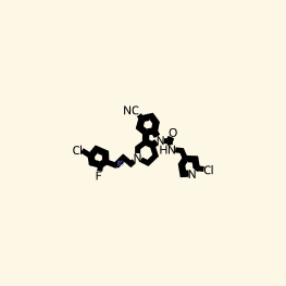 N#Cc1ccc2c(c1)c1c(n2C(=O)NCc2ccnc(Cl)c2)CCN(C/C=C/c2ccc(Cl)cc2F)C1